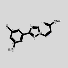 COC(=O)/C=C\n1cnc(-c2cc(Cl)cc(OC)c2)n1